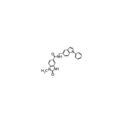 Cn1c(=O)[nH]c2cc(C(=O)NCc3ccc4c(ccn4-c4ccccc4)c3)ccc21